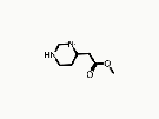 COC(=O)CC1CCNC[N]1